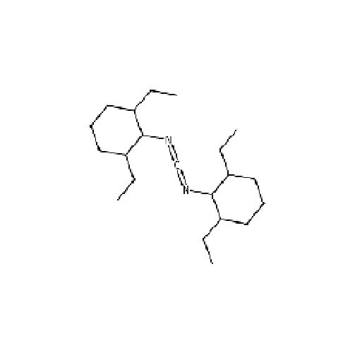 CCC1CCCC(CC)C1N=C=NC1C(CC)CCCC1CC